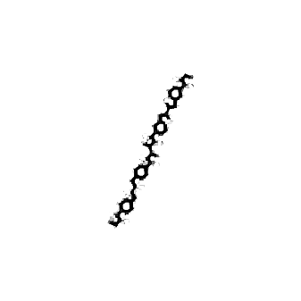 c1cc2sc3cc4sc(-c5cc6cc7c(cc6s5)sc5c(-c6csc8c6sc6cc9cc(-c%10cc%11cc%12sc%13ccsc%13c%12cc%11s%10)sc9cc68)csc57)cc4cc3c2s1